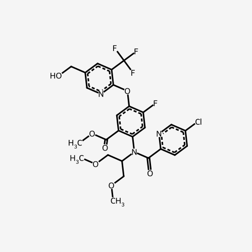 COCC(COC)N(C(=O)c1ccc(Cl)cn1)c1cc(F)c(Oc2ncc(CO)cc2C(F)(F)F)cc1C(=O)OC